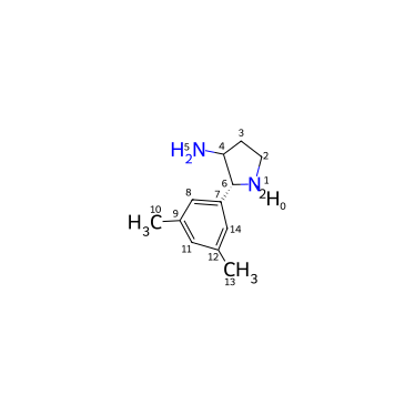 [2H]N1CCC(N)[C@H]1c1cc(C)cc(C)c1